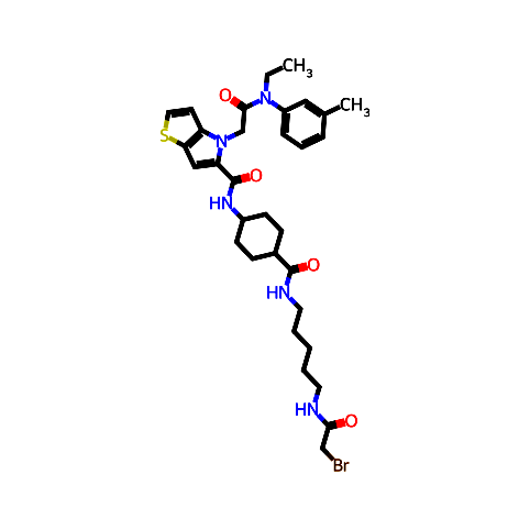 CCN(C(=O)Cn1c(C(=O)NC2CCC(C(=O)NCCCCCNC(=O)CBr)CC2)cc2sccc21)c1cccc(C)c1